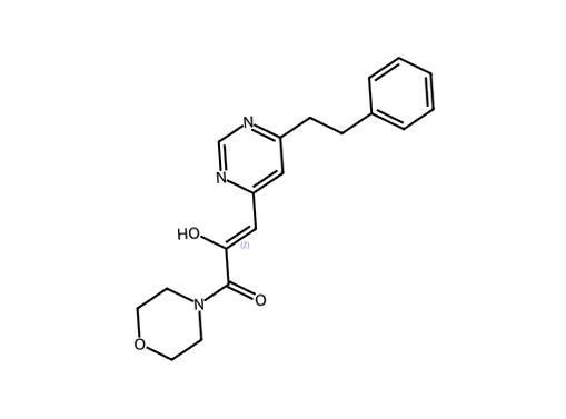 O=C(/C(O)=C/c1cc(CCc2ccccc2)ncn1)N1CCOCC1